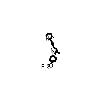 Cc1cc(C#Cc2ncccn2)nn1-c1ccc(OC(F)(F)F)cc1